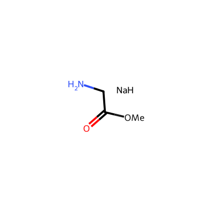 COC(=O)CN.[NaH]